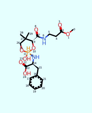 COC(=O)CCNC(=O)[C@@H]1O[PH](O)(N[C@@H](Cc2ccccc2)C(=O)O)OCC1(C)C